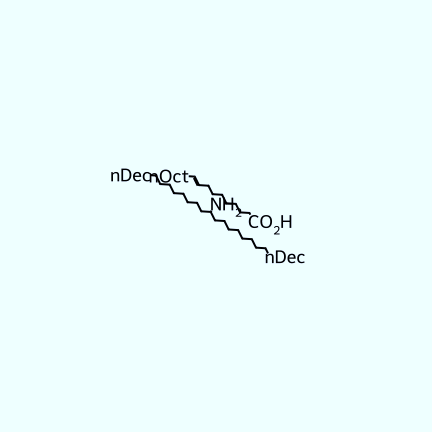 CCCCCCCCC=CCCCCCCCC(=O)O.CCCCCCCCCCCCCCCCCCC(N)CCCCCCCCCCCCCCCCCC